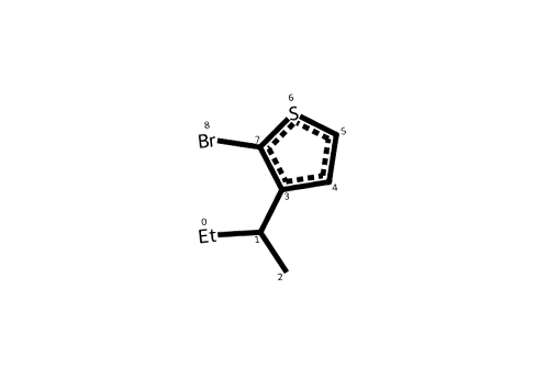 CCC(C)c1ccsc1Br